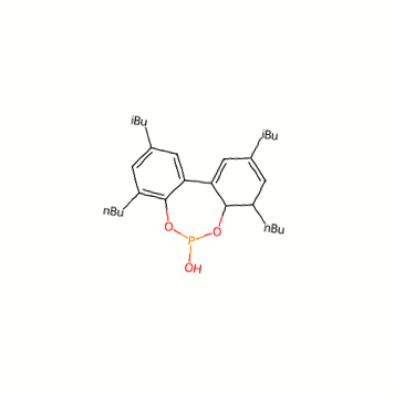 CCCCc1cc(C(C)CC)cc2c1OP(O)OC1C2=CC(C(C)CC)=CC1CCCC